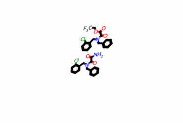 NC(=O)C(=O)N(Cc1ccccc1)Cc1ccccc1Cl.O=C(OCC(F)(F)F)C(=O)N(Cc1ccccc1)Cc1ccccc1Cl